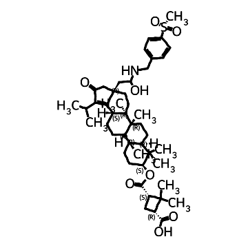 CC(C)C1=C2[C@H]3CC[C@@H]4[C@@]5(C)CC[C@H](OC(=O)[C@H]6C[C@@H](C(=O)O)C6(C)C)C(C)(C)[C@@H]5CC[C@@]4(C)[C@]3(C)CC[C@@]2(CC(O)NCc2ccc(S(C)(=O)=O)cc2)CC1=O